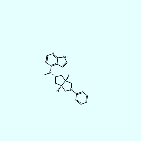 CN(c1ncnc2[nH]ccc12)[C@@H]1C[C@@H]2CN(c3[c]cccc3)C[C@@H]2C1